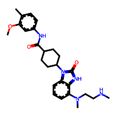 CNCCN(C)c1cccc2c1[nH]c(=O)n2C1CCC(C(=O)Nc2ccc(C)c(OC)c2)CC1